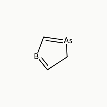 B1=CC[As]=C1